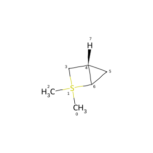 CS1(C)C[C@@H]2CC21